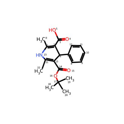 CC1=C(C(=O)O)C(c2ccccc2)C(C(=O)OC(C)(C)C)=C(C)N1